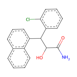 NC(=O)C(O)C(c1ccccc1Cl)c1cccc2ccccc12